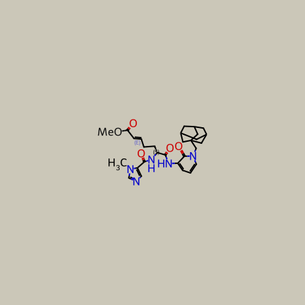 COC(=O)/C=C/CC[C@H](NC(=O)c1cncn1C)C(=O)Nc1cccn(CC23CC4CC(CC(C4)C2)C3)c1=O